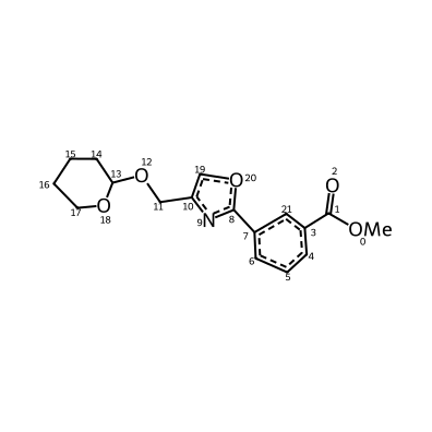 COC(=O)c1cccc(-c2nc(COC3CCCCO3)co2)c1